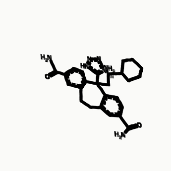 NC(=O)c1ccc2c(c1)CCc1cc(C(N)=O)ccc1C2(C[C@H](N)C1CCCCC1)c1nnn[nH]1